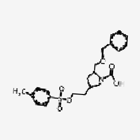 Cc1ccc(S(=O)(=O)OCCC2C[C@@H](COCc3ccccc3)N(C(=O)O)C2)cc1